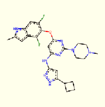 Cc1cc2c(F)c(Oc3cc(Nc4cc(C5CCC5)[nH]n4)nc(N4CCN(C)CC4)n3)c(F)cc2[nH]1